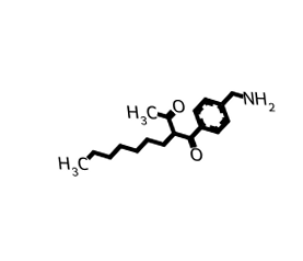 CCCCCCCC(C(C)=O)C(=O)c1ccc(CN)cc1